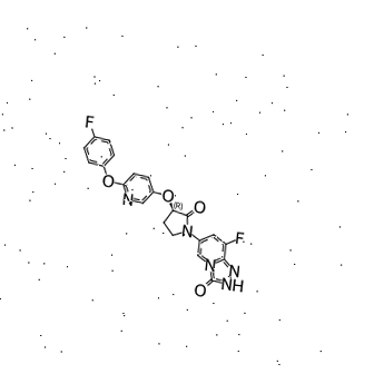 O=C1[C@H](Oc2ccc(Oc3ccc(F)cc3)nc2)CCN1c1cc(F)c2n[nH]c(=O)n2c1